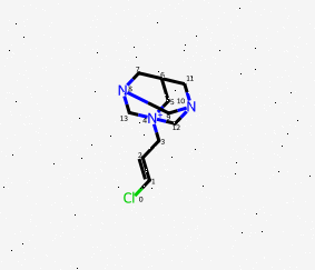 Cl/C=C/C[N+]12CC3CN(CN(C3)C1)C2